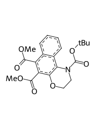 COC(=O)c1c2c(c3ccccc3c1C(=O)OC)N(C(=O)OC(C)(C)C)CCO2